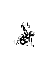 COCCOCc1nc(C(F)(F)F)ccc1C(=O)C1=C(O)C(C)CCC(C)C1=O